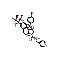 O=C(NCc1ccncc1)[C@@H]1CC[C@]2(S(=O)(=O)c3ccc(F)cc3)c3ccc(C(F)(C(F)(F)F)C(F)(F)F)cc3CC[C@H]12